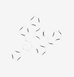 c1ccc(-c2cccc(C3NC(c4ccccc4)NC(c4cccc(-c5nc6ccccc6n5-c5ccccc5)c4)N3)c2)cc1